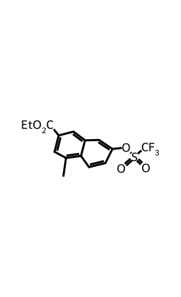 CCOC(=O)c1cc(C)c2ccc(OS(=O)(=O)C(F)(F)F)cc2c1